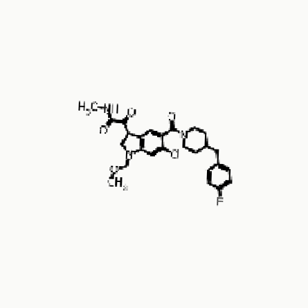 CNC(=O)C(=O)C1CN(COC)c2cc(Cl)c(C(=O)N3CCC(Cc4ccc(F)cc4)CC3)cc21